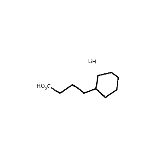 O=C(O)CCCC1CCCCC1.[LiH]